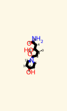 C[C@H](CC(=O)N1CCC(O)CC1)[C@@H](O)CC(N)=O